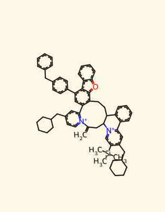 C=C1CC2C(CCc3c(cc(-c4ccc(Cc5ccccc5)cc4)c4c3oc3ccccc34)-c3cc(CC4CCCCC4)cc[n+]31)c1ccccc1-c1cc(CC3CCCCC3)c([Si](C)(C)C)c[n+]12